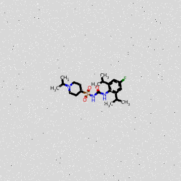 CC(C)c1cc(F)cc(C(C)C)c1NC(=O)NS(=O)(=O)C1CCN(C(C)C)CC1